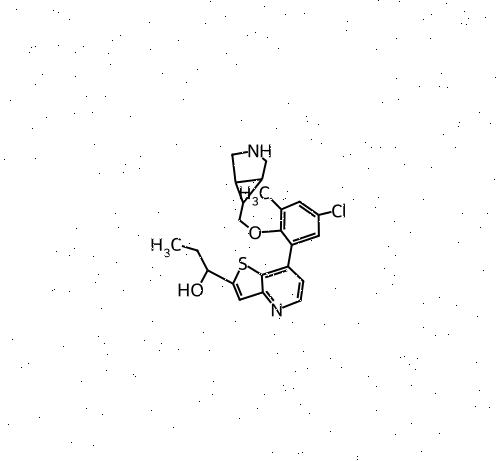 CCC(O)c1cc2nccc(-c3cc(Cl)cc(C)c3OCC3C4CNCC43)c2s1